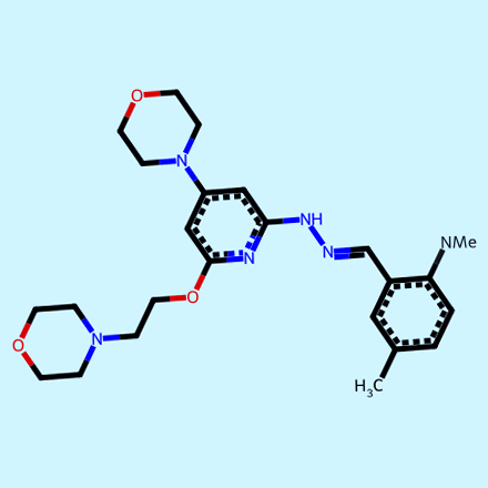 CNc1ccc(C)cc1/C=N/Nc1cc(N2CCOCC2)cc(OCCN2CCOCC2)n1